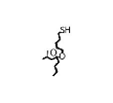 CCCCC1(CC(C)C)OCC(CCCS)O1